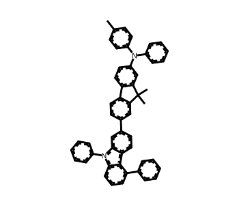 Cc1ccc(N(c2ccccc2)c2ccc3c(c2)C(C)(C)c2cc(-c4ccc5c6c(-c7ccccc7)cccc6n(-c6ccccc6)c5c4)ccc2-3)cc1